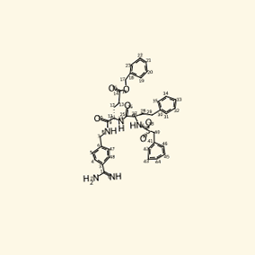 N=C(N)c1ccc(CNC(=O)[C@H](CCC(=O)OCc2ccccc2)NC(=O)[C@@H](CCc2ccccc2)NS(=O)(=O)Cc2ccccc2)cc1